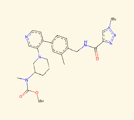 Cc1cc(-c2ccncc2N2CCCC(N(C)C(=O)OC(C)(C)C)C2)ccc1CNC(=O)c1cn(C(C)(C)C)nn1